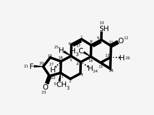 C[C@]12CC[C@H]3[C@@H](C=CC4=C(S)C(=O)[C@H]5CC5[C@@]43C)[C@@H]1C[C@H](F)C2=O